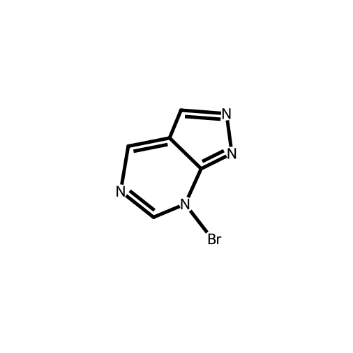 Brn1cncc2cnnc1-2